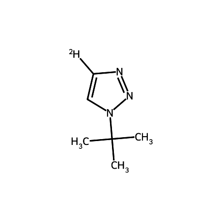 [2H]c1cn(C(C)(C)C)nn1